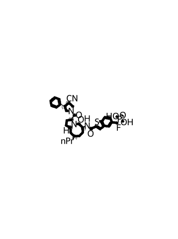 CCC[C@@H]1CC[C@H](NC(=O)c2cc3cc(C(F)P(=O)(O)O)ccc3s2)C(=O)N2[C@H](CC[C@H]2C(=O)N2C[C@H](c3ccccc3)[C@@H](C#N)C2)C1